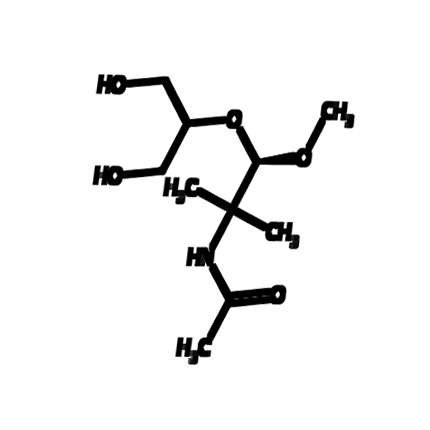 CO[C@H](OC(CO)CO)C(C)(C)NC(C)=O